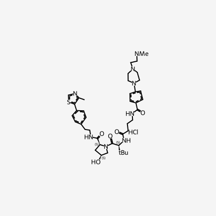 CNCCN1CCN(c2ccc(C(=O)NCCCC(=O)N[C@H](C(=O)N3C[C@@H](O)C[C@H]3C(=O)NCCc3ccc(-c4scnc4C)cc3)C(C)(C)C)cc2)CC1.Cl